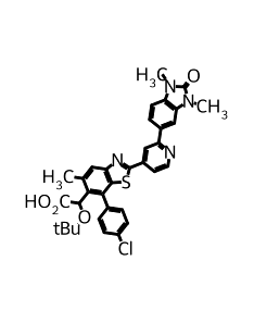 Cc1cc2nc(-c3ccnc(-c4ccc5c(c4)n(C)c(=O)n5C)c3)sc2c(-c2ccc(Cl)cc2)c1C(OC(C)(C)C)C(=O)O